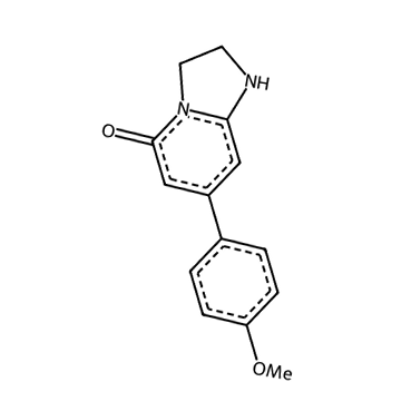 COc1ccc(-c2cc3n(c(=O)c2)CCN3)cc1